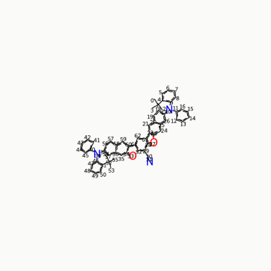 CC(C)(C)c1ccccc1N(c1ccccc1)c1ccc2cc3c(cc2c1)oc1c(C#N)c2oc4cc5cc(N(c6ccccc6)c6ccccc6C(C)(C)C)ccc5cc4c2cc13